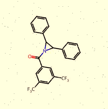 O=C(c1cc(C(F)(F)F)cc(C(F)(F)F)c1)N1C(c2ccccc2)C1c1ccccc1